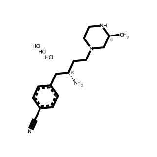 C[C@H]1CN(CC[C@H](N)Cc2ccc(C#N)cc2)CCN1.Cl.Cl.Cl